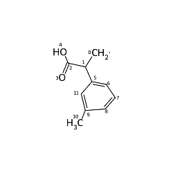 [CH2]C(C(=O)O)c1cccc(C)c1